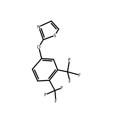 FC(F)(F)c1ccc(Oc2nc[c]s2)cc1C(F)(F)F